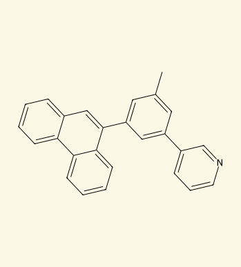 Cc1cc(-c2cccnc2)cc(-c2cc3ccccc3c3ccccc23)c1